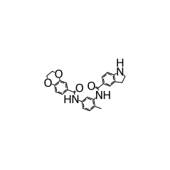 Cc1ccc(NC(=O)c2ccc3c(c2)OCCO3)cc1NC(=O)c1ccc2c(c1)CCN2